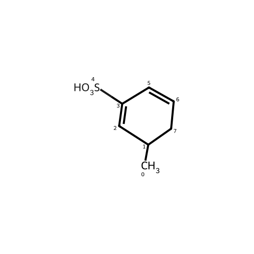 CC1C=C(S(=O)(=O)O)C=CC1